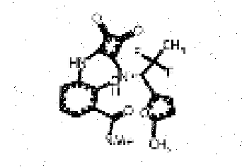 CNC(=O)c1cccc(Nc2c(N[C@@H](c3ccc(C)o3)C(C)(F)F)c(=O)c2=O)c1O